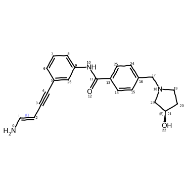 N/C=C/C#Cc1cccc(NC(=O)c2ccc(CN3CC[C@@H](O)C3)cc2)c1